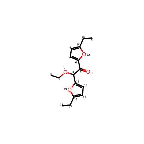 CCOC(C(=O)c1ccc(CC)o1)c1ccc(CC)o1